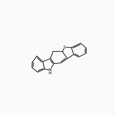 C1=C2c3ccccc3SC2Cc2c1[nH]c1ccccc21